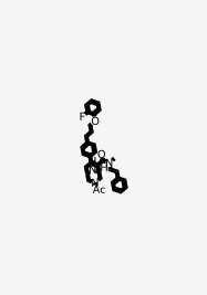 CC(=O)N1CC2CC(c3ccc(CCCOc4ccccc4F)cc3)=C(C(=O)N(C)CCc3ccccc3)[C@@H](C1)N2